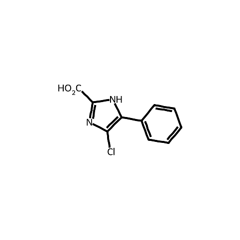 O=C(O)c1nc(Cl)c(-c2ccccc2)[nH]1